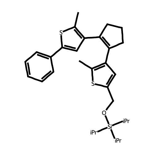 Cc1sc(CO[Si](C(C)C)(C(C)C)C(C)C)cc1C1=C(c2cc(-c3ccccc3)sc2C)CCC1